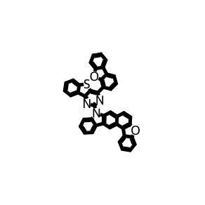 c1ccc2c(c1)oc1c(-c3nc(-n4c5ccccc5c5cc6c(ccc7oc8ccccc8c76)cc54)nc4c3sc3ccccc34)cccc12